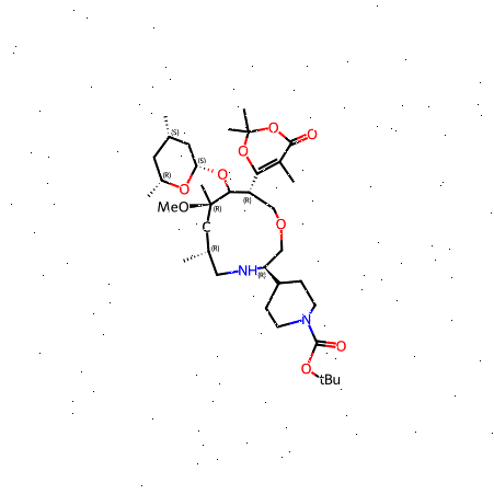 CO[C@]1(C)C[C@@H](C)CN[C@H](C2CCN(C(=O)OC(C)(C)C)CC2)COC[C@@H](C2=C(C)C(=O)OC(C)(C)O2)C1O[C@H]1C[C@@H](C)C[C@@H](C)O1